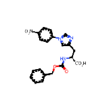 O=C(N[C@@H](Cc1cn(-c2ccc([N+](=O)[O-])cc2)cn1)C(=O)O)OCc1ccccc1